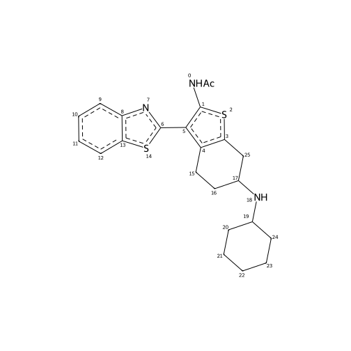 CC(=O)Nc1sc2c(c1-c1nc3ccccc3s1)CCC(NC1CCCCC1)C2